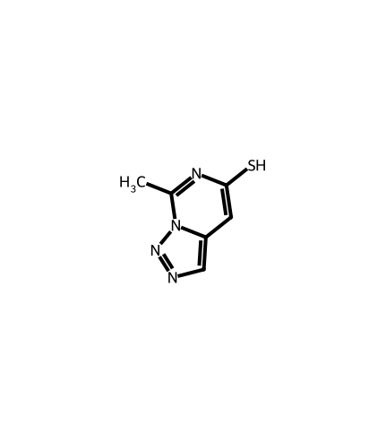 Cc1nc(S)cc2cnnn12